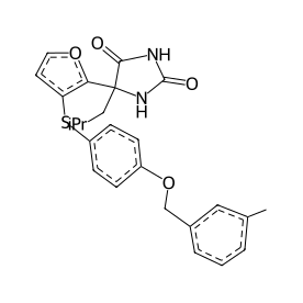 Cc1cccc(COc2ccc(Sc3ccoc3C3(CC(C)C)NC(=O)NC3=O)cc2)c1